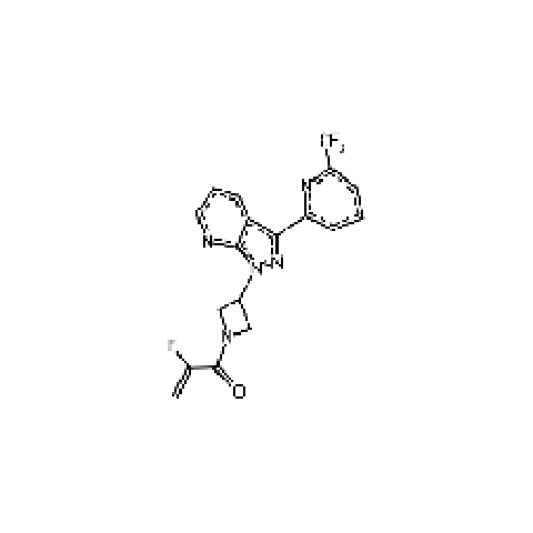 C=C(F)C(=O)N1CC(n2nc(-c3cccc(C(F)(F)F)n3)c3cccnc32)C1